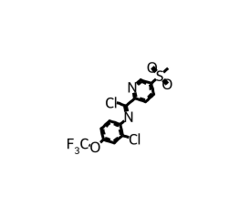 CS(=O)(=O)c1ccc(/C(Cl)=N/c2ccc(OC(F)(F)F)cc2Cl)nc1